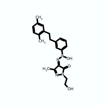 CC1=NN(CCO)C(=O)C1=NN(O)c1cccc(CCc2cc(C)ccc2C)c1